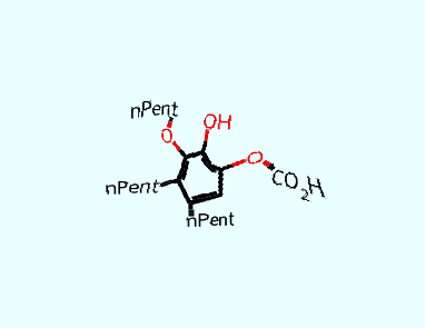 CCCCCOc1c(O)c(OC(=O)O)cc(CCCCC)c1CCCCC